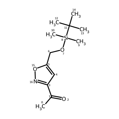 CC(=O)c1cc(CO[Si](C)(C)C(C)(C)C)on1